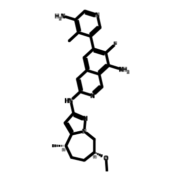 CO[C@@H]1CC[C@H](C)c2cc(Nc3cc4cc(-c5cncc(N)c5C)c(F)c(N)c4cn3)nn2C1